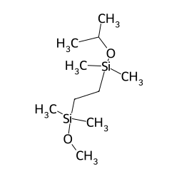 CO[Si](C)(C)CC[Si](C)(C)OC(C)C